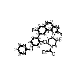 CCC(=O)N1CC[C@H](n2c(C)nc3cnc4cc(F)c(-c5ccc(Oc6ncccn6)cc5Cl)cc4c32)[C@@H](F)C1